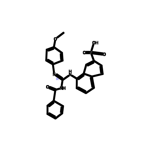 COc1ccc(/N=C(/NC(=O)c2ccccc2)Nc2cccc3ccc(S(=O)(=O)O)cc23)cc1